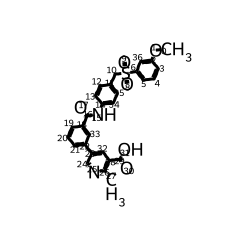 COc1cccc(S(=O)(=O)Cc2ccc(NC(=O)c3cccc(-c4cnc(C)c(C(=O)O)c4)c3)cc2)c1